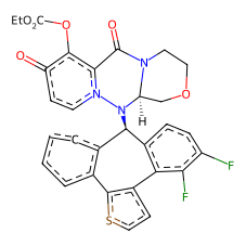 CCOC(=O)Oc1c2n(ccc1=O)N([C@@H]1c3ccccc3-c3sccc3-c3c1ccc(F)c3F)[C@@H]1COCCN1C2=O